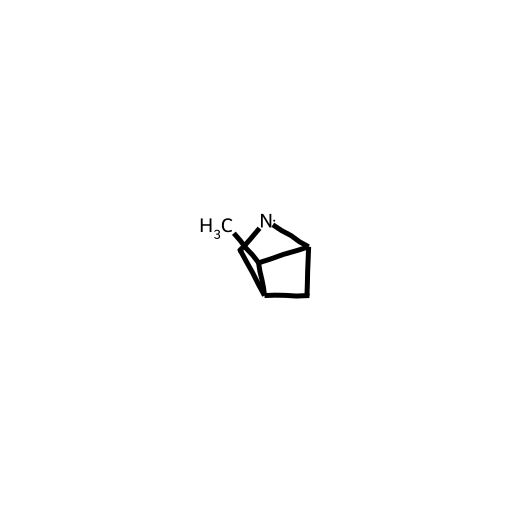 CC1C2C[N]C1C2